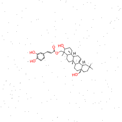 CC1(C)CC[C@]2(CO)CC[C@]3(C)C(=CC[C@@H]4[C@@]5(C)CC[C@H](O)C(C)(COC(=O)C=Cc6ccc(O)c(O)c6)C5CC[C@]43C)[C@H]2C1